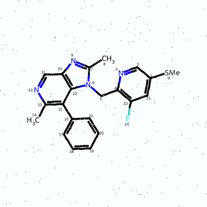 CSc1cnc(Cn2c(C)nc3cnc(C)c(-c4ccccc4)c32)c(F)c1